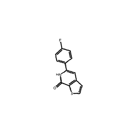 O=c1[nH]c(-c2ccc(F)cc2)cc2ccsc12